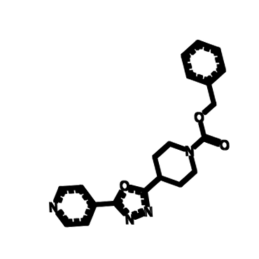 O=C(OCc1ccccc1)N1CCC(c2nnc(-c3ccncc3)o2)CC1